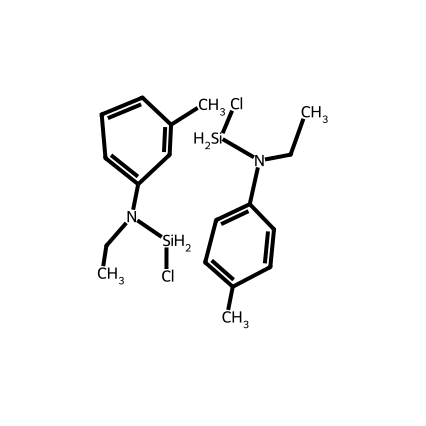 CCN([SiH2]Cl)c1ccc(C)cc1.CCN([SiH2]Cl)c1cccc(C)c1